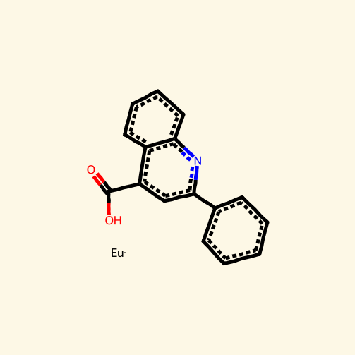 O=C(O)c1cc(-c2ccccc2)nc2ccccc12.[Eu]